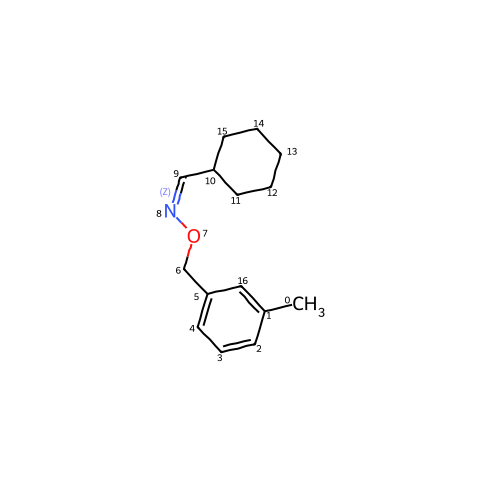 Cc1cccc(CO/N=[C]\C2CCCCC2)c1